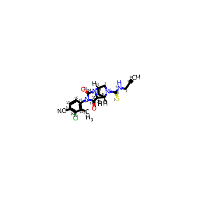 C#CCNC(=S)N1C[C@@H]2C[C@H]1[C@H]1C(=O)N(c3ccc(C#N)c(Cl)c3C)C(=O)N21